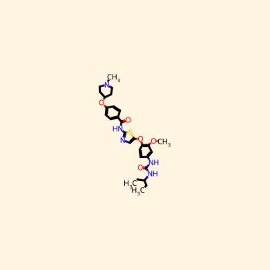 CCC(CC)NC(=O)Nc1ccc(Oc2cnc(NC(=O)c3ccc(OC4CCN(C)CC4)cc3)s2)c(OC)c1